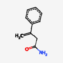 C=C(CC(N)=O)c1ccccc1